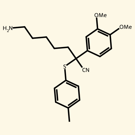 COc1ccc(C(C#N)(CCCCCN)Sc2ccc(C)cc2)cc1OC